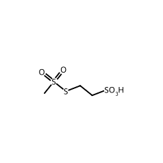 CS(=O)(=O)SCCS(=O)(=O)O